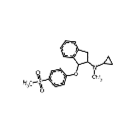 CN(C1CC1)C1Cc2ccccc2C1Oc1ccc(S(C)(=O)=O)cc1